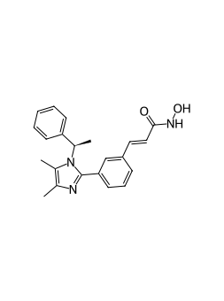 Cc1nc(-c2cccc(C=CC(=O)NO)c2)n([C@H](C)c2ccccc2)c1C